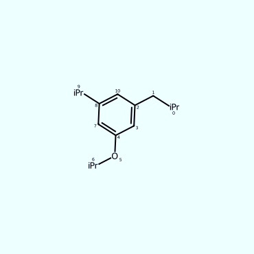 CC(C)Cc1cc(OC(C)C)cc(C(C)C)c1